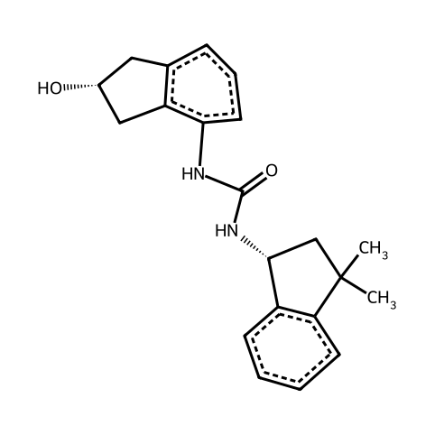 CC1(C)C[C@@H](NC(=O)Nc2cccc3c2C[C@H](O)C3)c2ccccc21